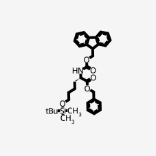 CC(C)(C)[Si](C)(C)OCCCC[C@H](NC(=O)OCC1c2ccccc2-c2ccccc21)C(=O)OCc1ccccc1